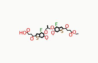 C=C(COc1c(OC)cc2sc(C(=O)CCC(=O)O)cc2c1F)COc1c(OC)cc2sc(C(=O)CCC(=O)OCC)cc2c1F